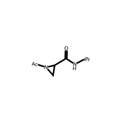 CC(=O)N1CC1C(=O)NC(C)C